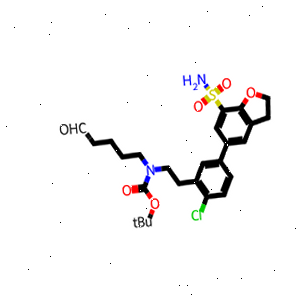 CC(C)(C)OC(=O)N(CCCCC=O)CCc1cc(-c2cc3c(c(S(N)(=O)=O)c2)OCC3)ccc1Cl